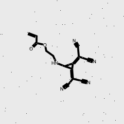 C=CC(=O)OCCNC1C(=C(C#N)C#N)C1=C(C#N)C#N